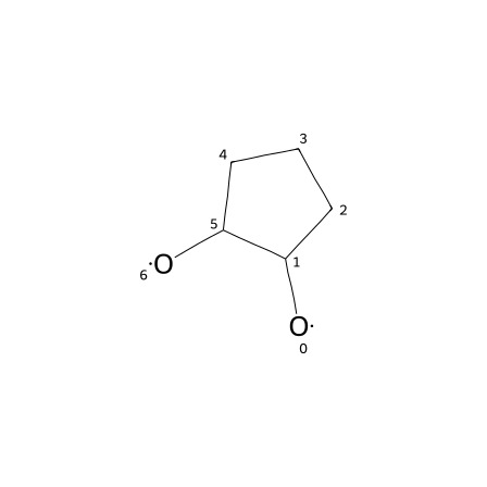 [O]C1CCCC1[O]